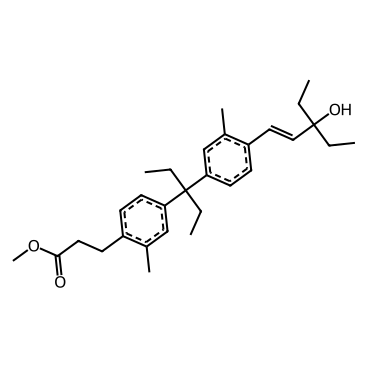 CCC(O)(C=Cc1ccc(C(CC)(CC)c2ccc(CCC(=O)OC)c(C)c2)cc1C)CC